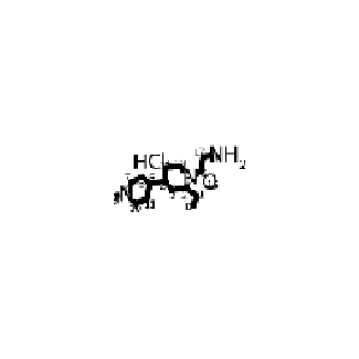 CCC1CC(C2CCN(C)CC2)CCN1C(=O)CN.Cl